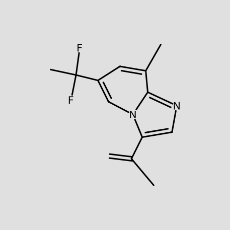 C=C(C)c1cnc2c(C)cc(C(C)(F)F)cn12